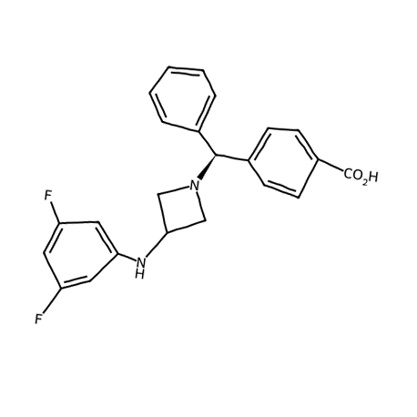 O=C(O)c1ccc([C@H](c2ccccc2)N2CC(Nc3cc(F)cc(F)c3)C2)cc1